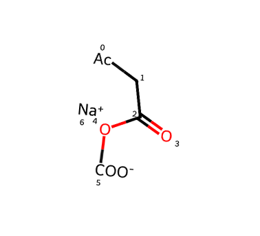 CC(=O)CC(=O)OC(=O)[O-].[Na+]